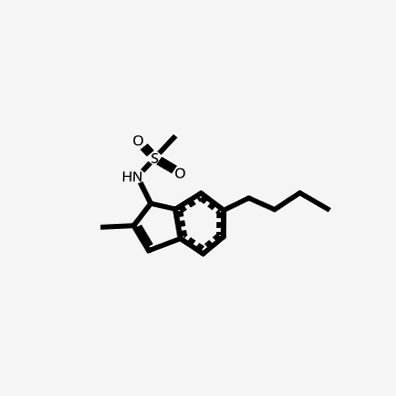 CCCCc1ccc2c(c1)C(NS(C)(=O)=O)C(C)=C2